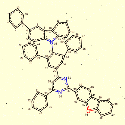 c1ccc(-c2ccc3c(c2)c2ccccc2n3-c2c(-c3ccccc3)cc(-c3cc(-c4ccccc4)nc(-c4ccc5c(c4)oc4ccccc45)n3)cc2-c2ccccc2)cc1